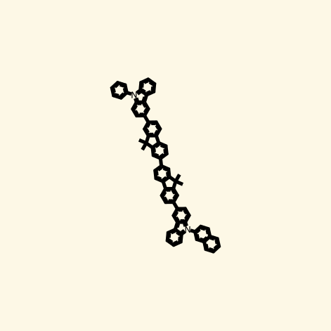 CC1(C)c2cc(-c3ccc4c(c3)C(C)(C)c3cc(-c5ccc6c(c5)c5ccccc5n6-c5ccc6ccccc6c5)ccc3-4)ccc2-c2ccc(-c3ccc4c(c3)c3ccccc3n4-c3ccccc3)cc21